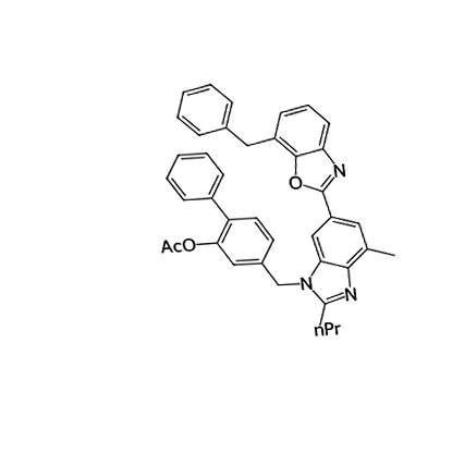 CCCc1nc2c(C)cc(-c3nc4cccc(Cc5ccccc5)c4o3)cc2n1Cc1ccc(-c2ccccc2)c(OC(C)=O)c1